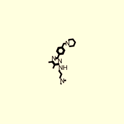 Cc1nc(-c2ccc(CN3CCCCC3)cc2)nc(NCCCN(C)C)c1C